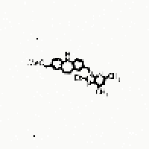 CCc1nc2c(C)cc(C)nc2n1Cc1ccc2c(c1)CCc1cc(COC)ccc1N2